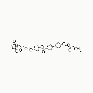 C=CC(=O)OCOc1ccc(-c2ccc(C(=O)Oc3ccc(OCOCC(=O)CN4C(=O)C=CC4=O)cc3)cc2)cc1